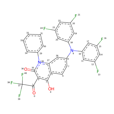 O=C(c1c(O)c2ccc(N(c3cc(F)cc(F)c3)c3cc(F)cc(F)c3)cc2n(-c2ccccc2)c1=O)C(F)(F)F